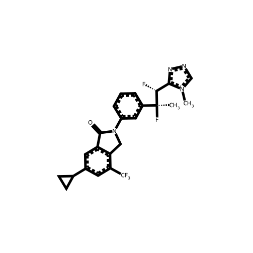 Cn1cnnc1[C@@H](F)[C@@](C)(F)c1cccc(N2Cc3c(cc(C4CC4)cc3C(F)(F)F)C2=O)c1